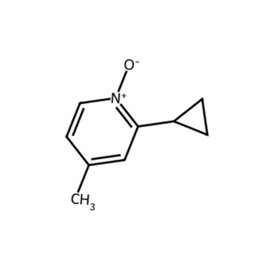 Cc1cc[n+]([O-])c(C2CC2)c1